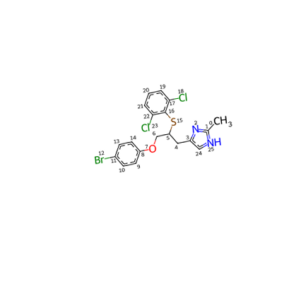 Cc1nc(CC(COc2ccc(Br)cc2)Sc2c(Cl)cccc2Cl)c[nH]1